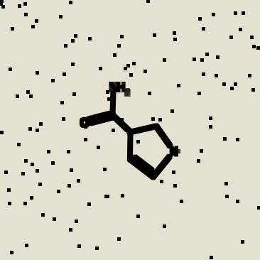 NC(=O)C1C=C[N]C1